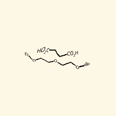 CCCCOCCOCCOCC.O=C(O)CCC(=O)O